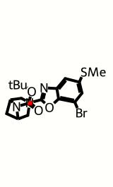 CSc1cc(Br)c2oc(N3CC4CC(C3)N4C(=O)OC(C)(C)C)nc2c1